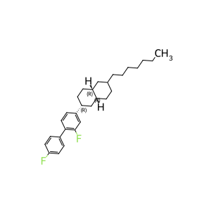 CCCCCCCC1CC[C@@H]2C[C@H](c3ccc(-c4ccc(F)cc4)c(F)c3)CC[C@@H]2C1